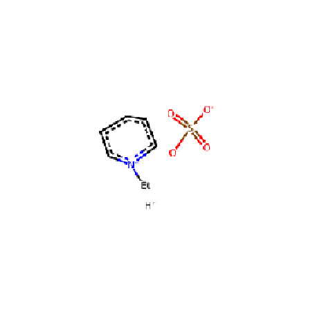 CC[n+]1ccccc1.O=S(=O)([O-])[O-].[H+]